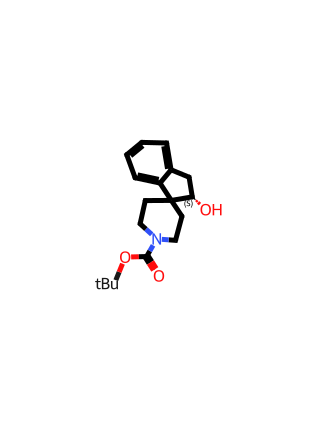 CC(C)(C)OC(=O)N1CCC2(CC1)c1ccccc1C[C@@H]2O